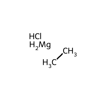 CC.Cl.[MgH2]